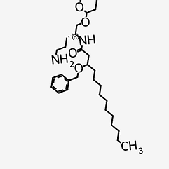 CCCCCCCCCCCC(CC(=O)N[C@H](CCCN)COC1CCCCO1)OCc1ccccc1